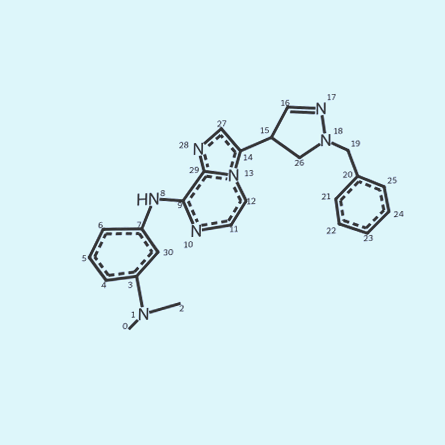 CN(C)c1cccc(Nc2nccn3c(C4C=NN(Cc5ccccc5)C4)cnc23)c1